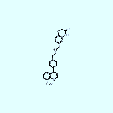 COc1cccc2c(-c3ccc(CCNCc4ccc5c(n4)NC(=O)CO5)cc3)ccnc12